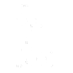 BN(Cc1ccc2c(c1)OCCO2)C1CCN(CCn2c(=O)ccc3c(C=O)cccc32)CC1